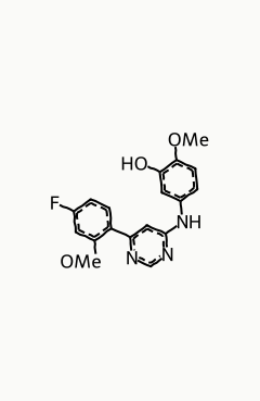 COc1ccc(Nc2cc(-c3ccc(F)cc3OC)ncn2)cc1O